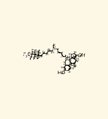 CN(CCCCC[C@@H]1Cc2cc(O)ccc2[C@@H]2[C@@H]1[C@@H]1CC[C@H](O)[C@@]1(C)C[C@@H]2F)CCCCCC(F)(F)C(F)(F)C(F)(F)C(F)(F)F